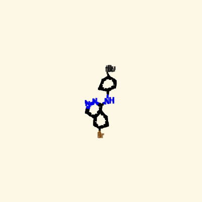 CC(C)(C)c1ccc(Nc2nncc3cc(Br)ccc23)cc1